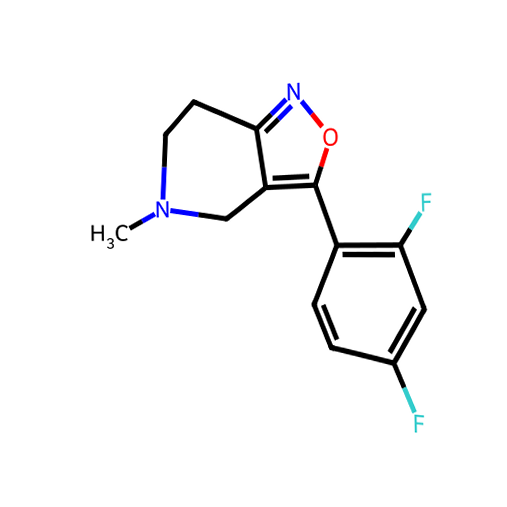 CN1CCc2noc(-c3ccc(F)cc3F)c2C1